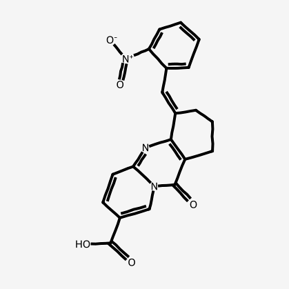 O=C(O)c1ccc2nc3c(c(=O)n2c1)CCCC3=Cc1ccccc1[N+](=O)[O-]